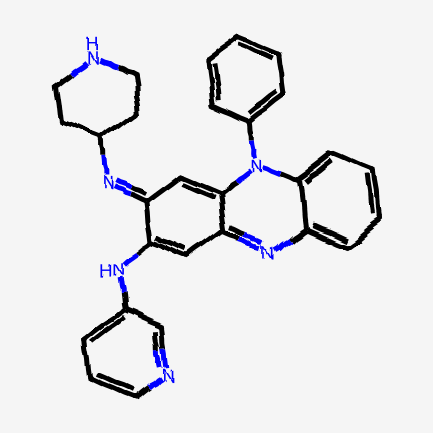 c1ccc(-n2c3c/c(=N\C4CCNCC4)c(Nc4cccnc4)cc-3nc3ccccc32)cc1